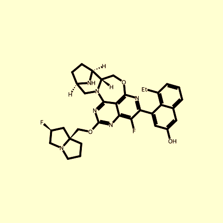 CCc1cccc2cc(O)cc(-c3nc4c5c(nc(OC[C@@]67CCCN6C[C@@H](F)C7)nc5c3F)N3C[C@H]5CC[C@H](N5)[C@@H]3CO4)c12